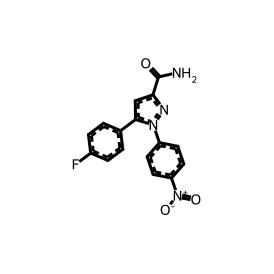 NC(=O)c1cc(-c2ccc(F)cc2)n(-c2ccc([N+](=O)[O-])cc2)n1